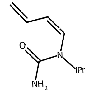 C=C/C=C\N(C(N)=O)C(C)C